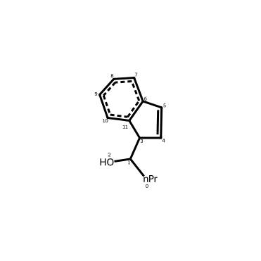 CCCC(O)C1C=Cc2ccccc21